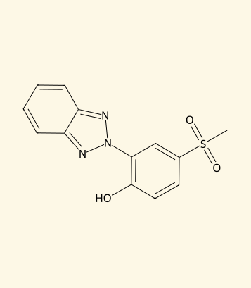 CS(=O)(=O)c1ccc(O)c(-n2nc3ccccc3n2)c1